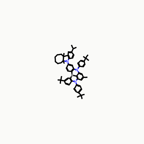 Cc1cc2c3c(c1)N(c1ccc(C(C)(C)C)cc1)c1cc(N4c5ccc(C(C)C)cc5C5(C)CCCCCCC45C)ccc1B3c1cc(C(C)(C)C)ccc1N2c1ccc(C(C)(C)C)cc1